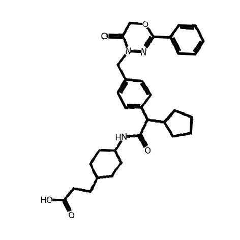 O=C(O)CCC1CCC(NC(=O)C(c2ccc(CN3N=C(c4ccccc4)OCC3=O)cc2)C2CCCC2)CC1